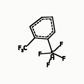 FC(F)(F)c1ccccc1[SH](F)(F)(F)F